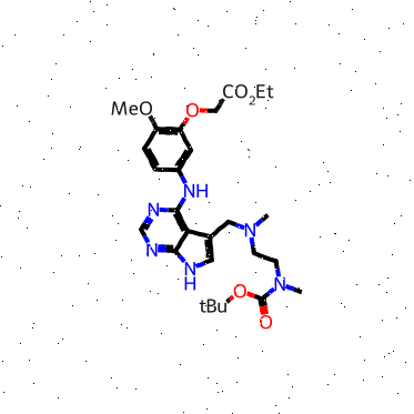 CCOC(=O)COc1cc(Nc2ncnc3[nH]cc(CN(C)CCN(C)C(=O)OC(C)(C)C)c23)ccc1OC